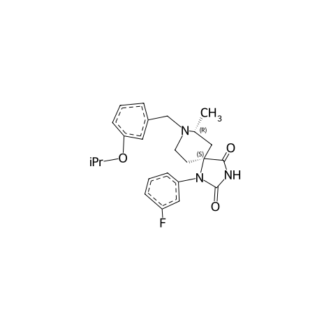 CC(C)Oc1cccc(CN2CC[C@]3(C[C@H]2C)C(=O)NC(=O)N3c2cccc(F)c2)c1